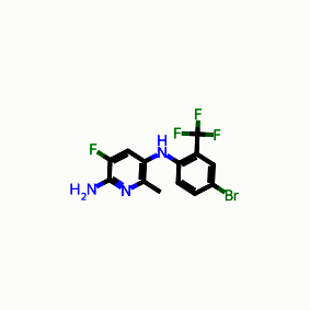 Cc1nc(N)c(F)cc1Nc1ccc(Br)cc1C(F)(F)F